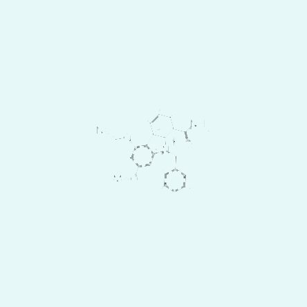 COc1cc(OCC#N)c2c(c1)N(Cc1ccccc1)[C@@H]1C(C(N)=O)CC=CC21